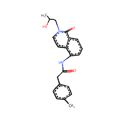 Cc1ccc(CC(=O)Nc2cccc3c(=O)n(CC(C)O)ccc23)cc1